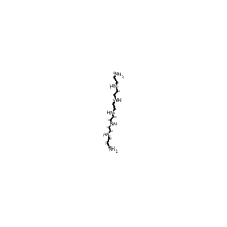 NCCNCCNCCNCCNCCNCCN